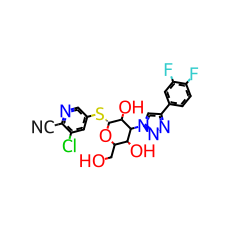 N#Cc1ncc(S[C@H]2OC(CO)[C@H](O)C(n3cc(-c4ccc(F)c(F)c4)nn3)C2O)cc1Cl